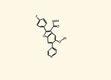 CNC(=O)c1c(-c2ccc(F)cc2)oc2cc(-c3ccncc3)c(OC(C)C)cc12